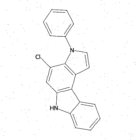 Clc1cc2[nH]c3ccccc3c2c2ccn(-c3ccccc3)c12